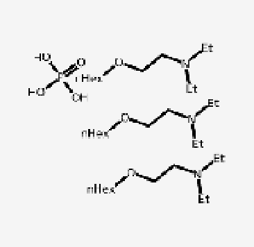 CCCCCCOCCN(CC)CC.CCCCCCOCCN(CC)CC.CCCCCCOCCN(CC)CC.O=P(O)(O)O